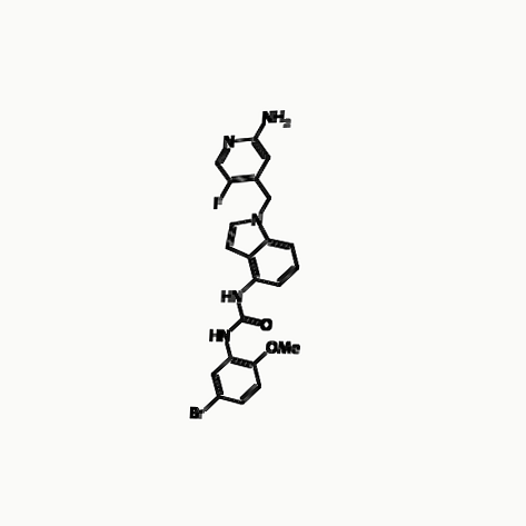 COc1ccc(Br)cc1NC(=O)Nc1cccc2c1ccn2Cc1cc(N)ncc1F